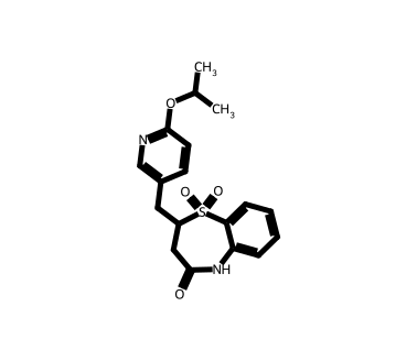 CC(C)Oc1ccc(CC2CC(=O)Nc3ccccc3S2(=O)=O)cn1